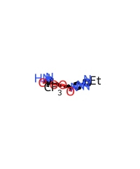 CCc1cnc(N2CCN(C(=O)CCOCCOc3cn[nH]c(=O)c3C(F)(F)F)CC2)cn1